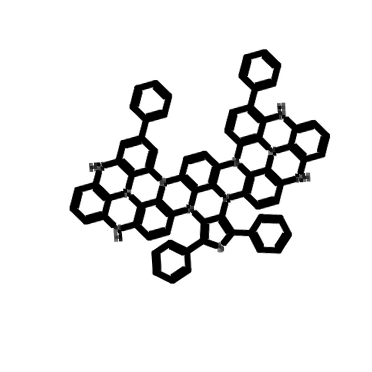 c1ccc(-c2cc3c4c(c2)B2c5ccc6c7c5N(c5ccc8c(c52)N4c2c(cccc2N8)N3)c2c(-c3ccccc3)sc(-c3ccccc3)c2N7c2ccc3c4c2B6c2ccc(-c5ccccc5)c5c2N4c2c(cccc2N5)N3)cc1